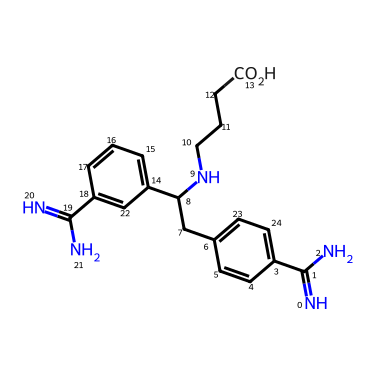 N=C(N)c1ccc(CC(NCCCC(=O)O)c2cccc(C(=N)N)c2)cc1